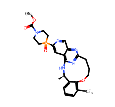 C[C@H]1Nc2nc(nc3cnc(P4(=O)CCN(C(=O)OC(C)(C)C)CC4)cc23)CCCOc2c1cccc2C(F)(F)F